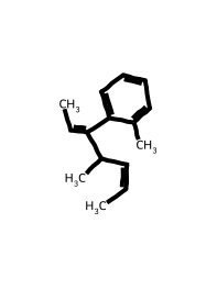 C/C=C\C(C)/C(=C/C)c1ccccc1C